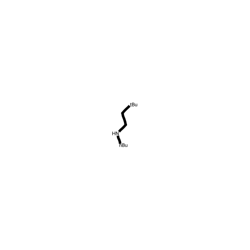 CCCCNCCC(C)(C)C